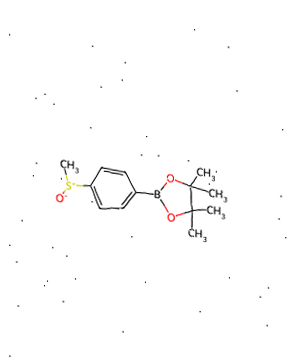 C[S+]([O-])c1ccc(B2OC(C)(C)C(C)(C)O2)cc1